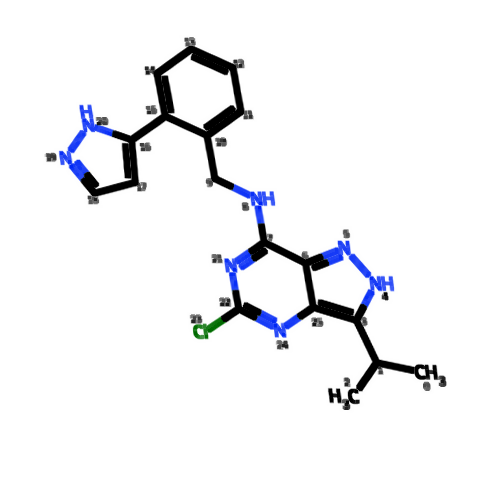 CC(C)c1[nH]nc2c(NCc3ccccc3-c3ccn[nH]3)nc(Cl)nc12